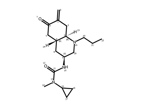 C=C1C[C@@H]2[C@@H](CC1=O)C[C@H](NC(=O)N(C)C1CC1)CN2CCC